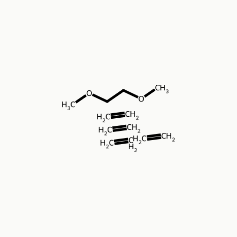 C=C.C=C.C=C.C=C.COCCOC